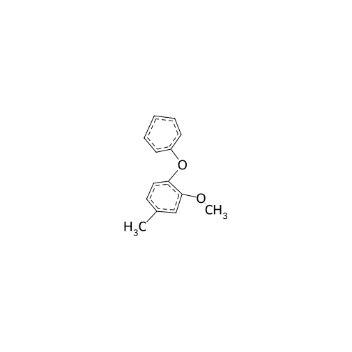 COc1cc(C)ccc1Oc1ccccc1